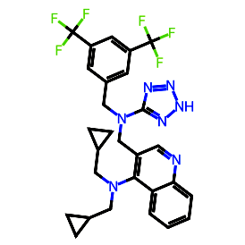 FC(F)(F)c1cc(CN(Cc2cnc3ccccc3c2N(CC2CC2)CC2CC2)c2nn[nH]n2)cc(C(F)(F)F)c1